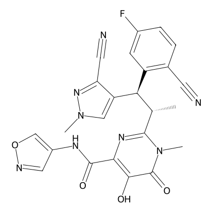 C[C@H](c1nc(C(=O)Nc2cnoc2)c(O)c(=O)n1C)[C@H](c1cc(F)ccc1C#N)c1cn(C)nc1C#N